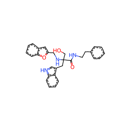 O=C(NCCc1ccccc1)C(CO)(Cc1c[nH]c2ccccc12)NCc1cc2ccccc2o1